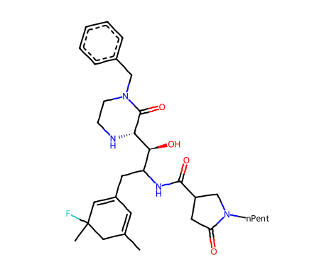 CCCCCN1CC(C(=O)NC(CC2=CC(C)(F)CC(C)=C2)[C@H](O)[C@@H]2NCCN(Cc3ccccc3)C2=O)CC1=O